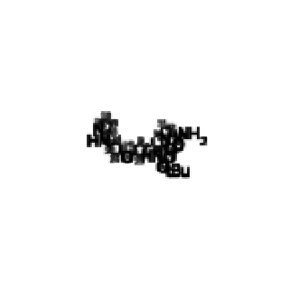 CC(C)(C)OC(=O)N[C@@H](Cc1ccc(Oc2ccc(Nc3ccccn3)cc2)cc1)C(=O)N1CCC[C@H]1C(N)=O